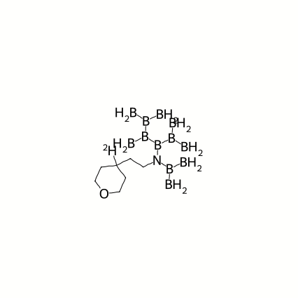 [2H]C1(CCN(B(B)B)B(B(B)B)B(B)B(B)B)CCOCC1